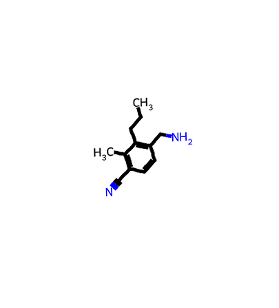 CCCc1c(CN)ccc(C#N)c1C